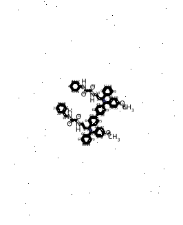 COc1ccc(/C(=C(/CCNC(=O)C(=O)NCc2ccccc2)c2ccc(-c3ccc(/C(=C(\CCNC(=O)C(=O)NC4CCCCC4)c4ccccc4)c4ccc(OC)cc4)cc3)cc2)c2ccccc2)cc1